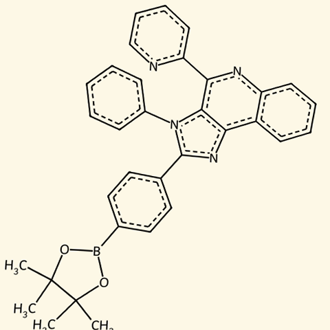 CC1(C)OB(c2ccc(-c3nc4c5ccccc5nc(-c5ccccn5)c4n3-c3ccccc3)cc2)OC1(C)C